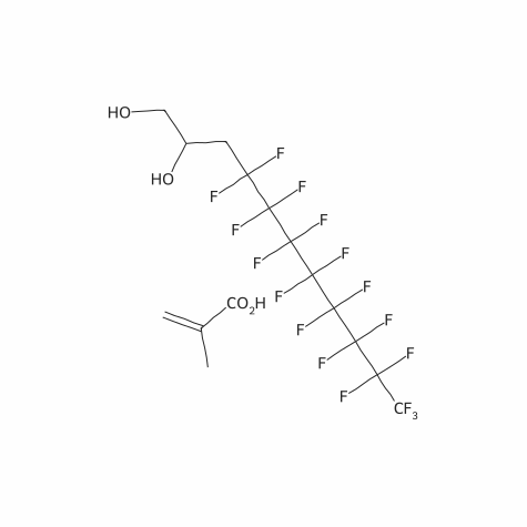 C=C(C)C(=O)O.OCC(O)CC(F)(F)C(F)(F)C(F)(F)C(F)(F)C(F)(F)C(F)(F)C(F)(F)C(F)(F)F